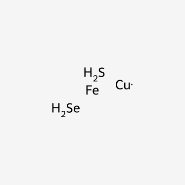 S.[Cu].[Fe].[SeH2]